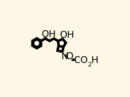 O=C(O)CO/N=C1/CC2C1CC(O)C2CCC(O)c1ccccc1